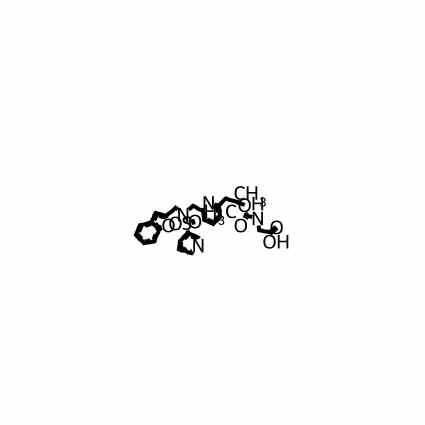 CC(C)(Cc1cccc(CN(Cc2cc3ccccc3o2)S(=O)(=O)c2cccnc2)n1)OC(=O)NCC(=O)O